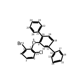 Clc1cccc(Br)c1Oc1cc(-c2ccccc2)ccc1-c1ccccc1